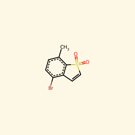 Cc1ccc(Br)c2c1S(=O)(=O)C=C2